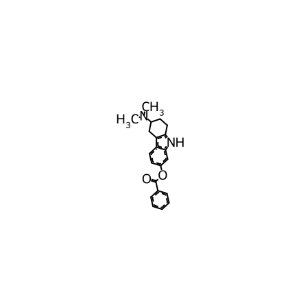 CN(C)C1CCc2[nH]c3cc(OC(=O)c4ccccc4)ccc3c2C1